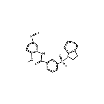 COc1ccc(N=O)cc1NC(=O)c1cccc(S(=O)(=O)N2CCc3ccccc32)c1